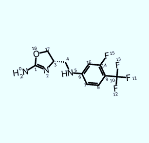 NC1=N[C@@H](CNc2ccc(C(F)(F)F)c(F)c2)CO1